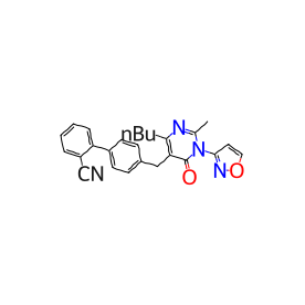 CCCCc1nc(C)n(-c2ccon2)c(=O)c1Cc1ccc(-c2ccccc2C#N)cc1